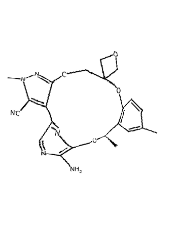 Cc1ccc2c(c1)[C@@H](C)Oc1nc(cnc1N)-c1c(nn(C)c1C#N)CCC1(COC1)O2